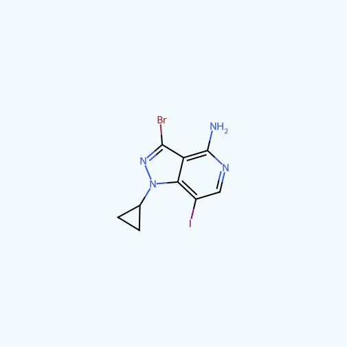 Nc1ncc(I)c2c1c(Br)nn2C1CC1